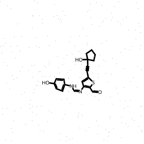 O=Cc1sc(C#CC2(O)CCCC2)cc1/N=C\Nc1ccc(O)cc1